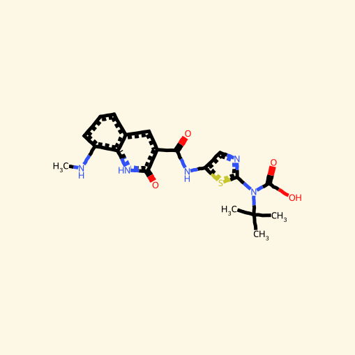 CNc1cccc2cc(C(=O)Nc3cnc(N(C(=O)O)C(C)(C)C)s3)c(=O)[nH]c12